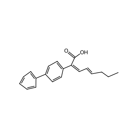 CCCC=CC=C(C(=O)O)c1ccc(-c2ccccc2)cc1